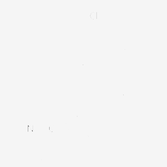 Clc1cccc([C]2[CH]N3CCC2CC3)c1